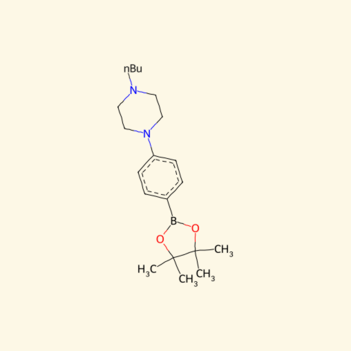 CCCCN1CCN(c2ccc(B3OC(C)(C)C(C)(C)O3)cc2)CC1